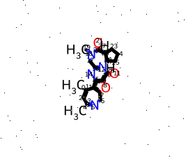 CC1=CC(C)=NCc2oc3c(=O)n4c(nc3c21)CN(C)C(=O)[C@H]1CCC[C@H]14